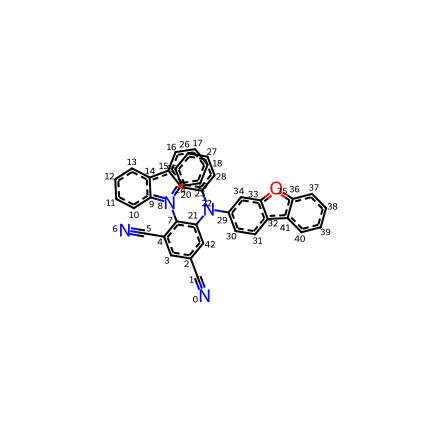 N#Cc1cc(C#N)c(-n2c3ccccc3c3ccccc32)c(N(c2ccccc2)c2ccc3c(c2)oc2ccccc23)c1